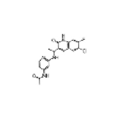 CC(=O)Nc1ccnc(N[C@@H](C)c2cc3cc(Cl)c(F)cc3[nH]c2=O)c1